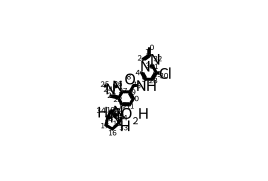 Cc1cn2cc(NC(=O)c3ccc(N4C[C@H]5CC[C@@H](C4)N5C(=O)O)c4cn(C)nc34)cc(Cl)c2n1